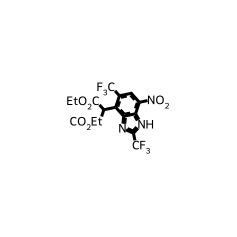 CCOC(=O)C(C(=O)OCC)c1c(C(F)(F)F)cc([N+](=O)[O-])c2[nH]c(C(F)(F)F)nc12